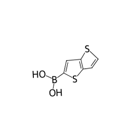 OB(O)c1cc2sccc2s1